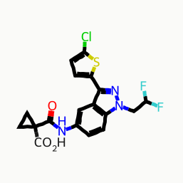 O=C(O)C1(C(=O)Nc2ccc3c(c2)c(-c2ccc(Cl)s2)nn3CC(F)F)CC1